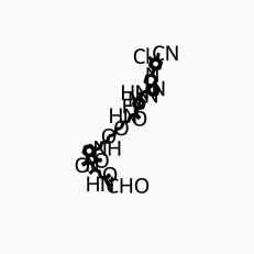 CC(CCC(=O)NC=O)N1C(=O)c2cccc(NCCOCCOCCNC(=O)c3ccc(Nc4ncnc5c4CCN(c4ccc(C#N)c(Cl)c4)C5)nc3F)c2C1=O